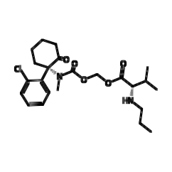 CCCN[C@H](C(=O)OCOC(=O)N(C)[C@]1(c2ccccc2Cl)CCCCC1=O)C(C)C